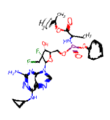 CC(C)OC(=O)C(C)N[P@](=O)(OC[C@H]1O[C@@H](n2cnc3c(NC4CC4)nc(N)nc32)[C@@](F)(CF)[C@@H]1O)Oc1ccccc1